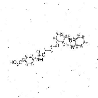 Cc1c(OCCCOC(=O)Nc2ccc(C(=O)O)cc2)ccnc1Cn1cnc2ccccc21